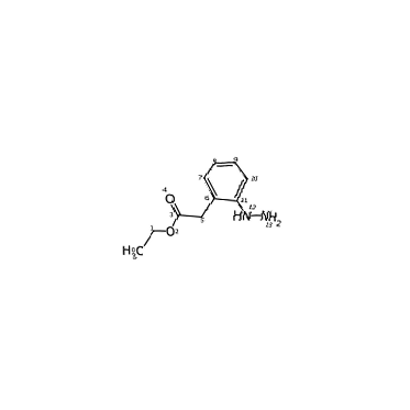 CCOC(=O)Cc1ccccc1NN